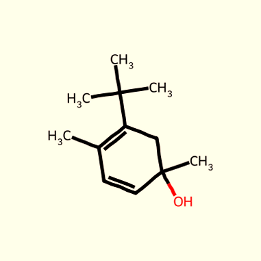 CC1=C(C(C)(C)C)CC(C)(O)C=C1